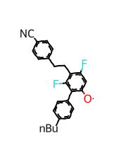 CCCCc1ccc(-c2c([O])cc(F)c(CCc3ccc(C#N)cc3)c2F)cc1